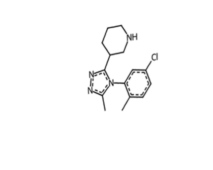 Cc1ccc(Cl)cc1-n1c(C)nnc1C1CCCNC1